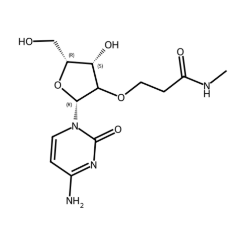 CNC(=O)CCOC1[C@@H](O)[C@@H](CO)O[C@H]1n1ccc(N)nc1=O